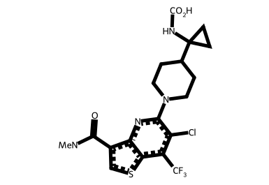 CNC(=O)c1csc2c(C(F)(F)F)c(Cl)c(N3CCC(C4(NC(=O)O)CC4)CC3)nc12